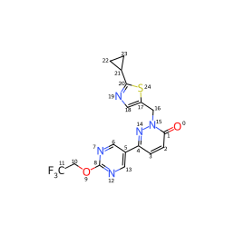 O=c1ccc(-c2cnc(OCC(F)(F)F)nc2)nn1Cc1cnc(C2CC2)s1